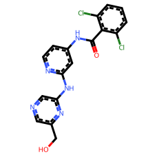 O=C(Nc1ccnc(Nc2cncc(CO)n2)c1)c1c(Cl)cccc1Cl